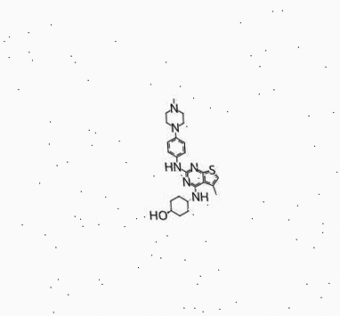 Cc1csc2nc(Nc3ccc(N4CCN(C)CC4)cc3)nc(N[C@H]3CC[C@H](O)CC3)c12